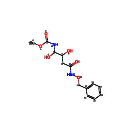 CC(C)(C)OC(=O)NC(O)C(O)CC(=O)NOCc1ccccc1